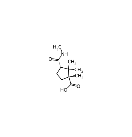 CNC(=O)[C@H]1CC[C@@](C)(C(=O)O)C1(C)C